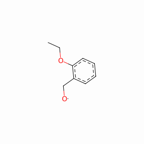 CCOc1ccccc1C[O]